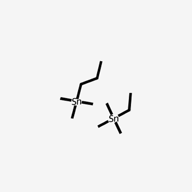 CC[CH2][Sn]([CH3])([CH3])[CH3].C[CH2][Sn]([CH3])([CH3])[CH3]